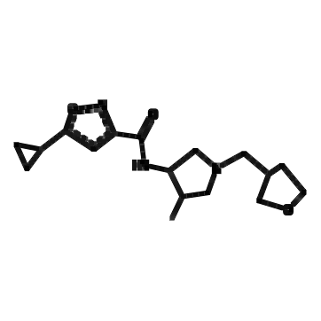 CC1CN(CC2CCOC2)CC1NC(=O)c1cc(C2CC2)on1